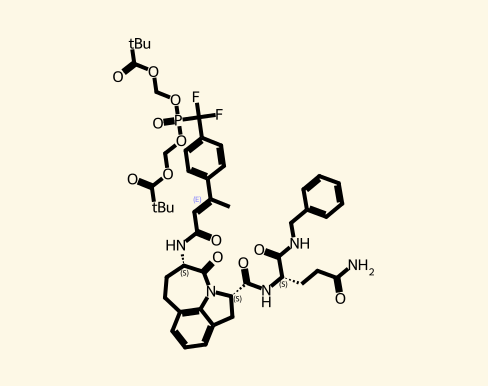 C/C(=C\C(=O)N[C@H]1CCc2cccc3c2N(C1=O)[C@H](C(=O)N[C@@H](CCC(N)=O)C(=O)NCc1ccccc1)C3)c1ccc(C(F)(F)P(=O)(OCOC(=O)C(C)(C)C)OCOC(=O)C(C)(C)C)cc1